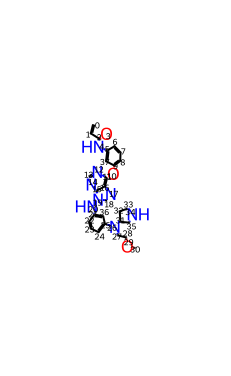 C=CC(=O)Nc1cccc(Oc2ncnc3c2ncn3Nc2cccc(N(CCOC)C3CCNC3)c2)c1